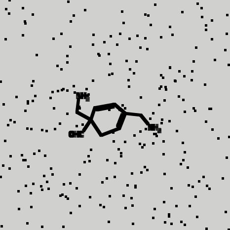 NCC1=CCC(C=O)(CN)C=C1